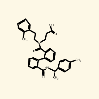 Cc1ccc([C@@H](C)NC(=O)c2ccccc2-c2ccccc2C(=O)N(CCC(=O)O)CCc2ccccc2C)cc1